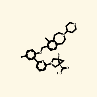 Cc1ccc(OCc2ccc3c(c2C)CCN(C2CCOCC2)CC3)c(-c2cccc(N3C[C@@H]4C[C@]4(C(=O)O)C3)n2)c1